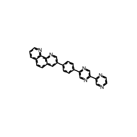 c1cnc2c(c1)ccc1cc(-c3ccc(-c4cnc(-c5cnccn5)cn4)cc3)cnc12